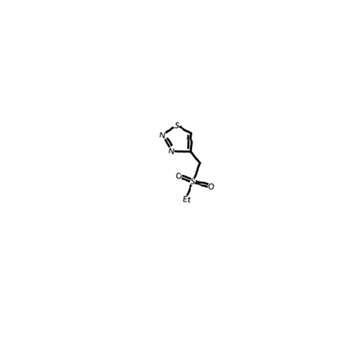 CCS(=O)(=O)Cc1csnn1